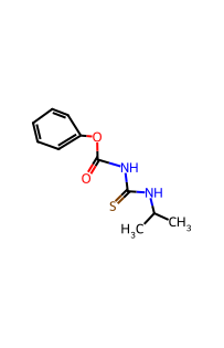 CC(C)NC(=S)NC(=O)Oc1ccccc1